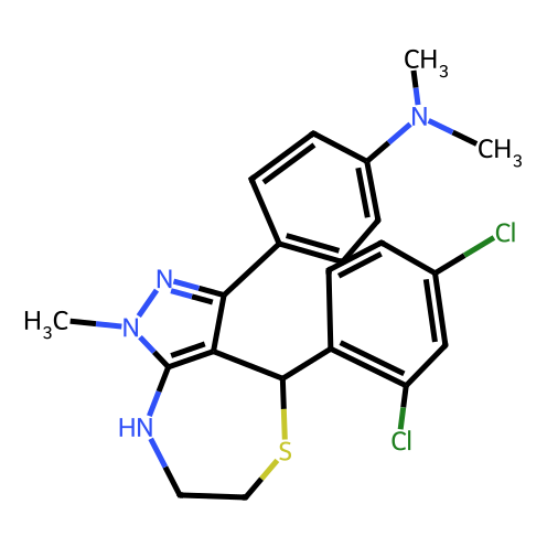 CN(C)c1ccc(-c2nn(C)c3c2C(c2ccc(Cl)cc2Cl)SCCN3)cc1